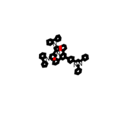 c1ccc(-c2cc(-c3ccc(-c4cc(-c5ccccc5)c(-n5c6ccc(-n7c8ccccc8c8ccccc87)cc6c6cc(-n7c8ccccc8c8ccccc87)ccc65)c(-c5ccccc5)c4)cc3)nc(-c3ccccc3)n2)cc1